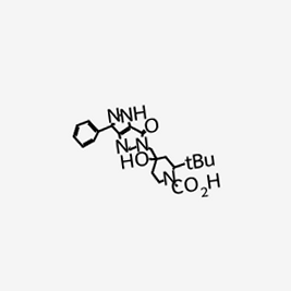 CC(C)(C)C1CC(O)(Cn2cnc3c(-c4ccccc4)n[nH]c3c2=O)CCN1C(=O)O